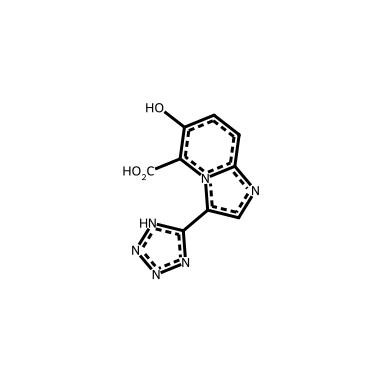 O=C(O)c1c(O)ccc2ncc(-c3nnn[nH]3)n12